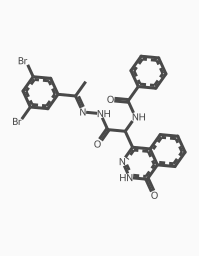 CC(=NNC(=O)C(NC(=O)c1ccccc1)c1n[nH]c(=O)c2ccccc12)c1cc(Br)cc(Br)c1